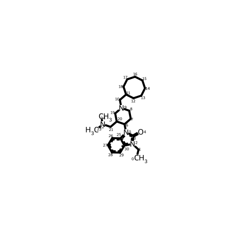 CCn1c(=O)n(C2CCN(CC3CCCCCCC3)CC2CN(C)C)c2ccccc21